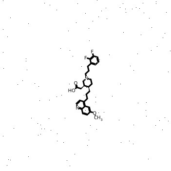 COc1ccc2nccc(CCC[C@@H]3CCN(CCCc4cccc(F)c4F)C[C@@H]3CC(=O)O)c2c1